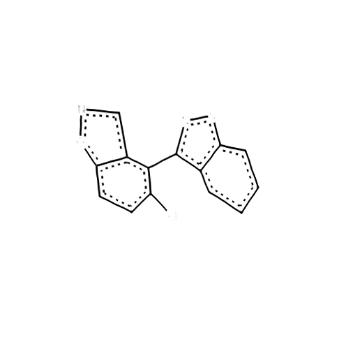 Clc1ccc2on[c]c2c1-c1nsc2ccccc12